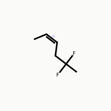 C/C=C\CC(C)(F)F